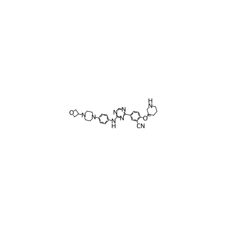 N#Cc1cc(-c2ncnc(Nc3ccc(N4CCN(C5COC5)CC4)cc3)n2)ccc1O[C@@H]1CCCNC1